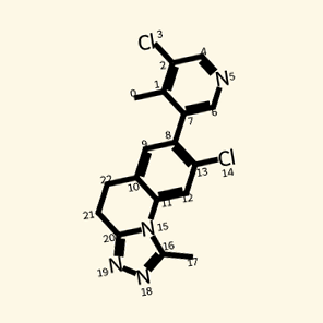 Cc1c(Cl)cncc1-c1cc2c(cc1Cl)-n1c(C)nnc1CC2